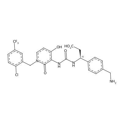 NCc1ccc([C@H](CC(=O)O)NC(=O)Nc2c(O)ccn(Cc3cc(C(F)(F)F)ccc3Cl)c2=O)cc1